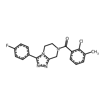 Cc1cccc(C(=O)N2CCn3c(nnc3-c3ccc(F)cc3)C2)c1Cl